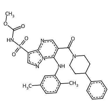 COC(=O)NS(=O)(=O)c1cnn2c(Nc3cc(C)ccc3C)c(C(=O)N3CCC(c4ccccc4)CC3)cnc12